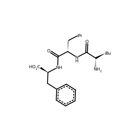 CC[C@H](C)[C@H](N)C(=O)N[C@@H](CC(C)C)C(=O)N[C@@H](Cc1ccccc1)C(=O)O